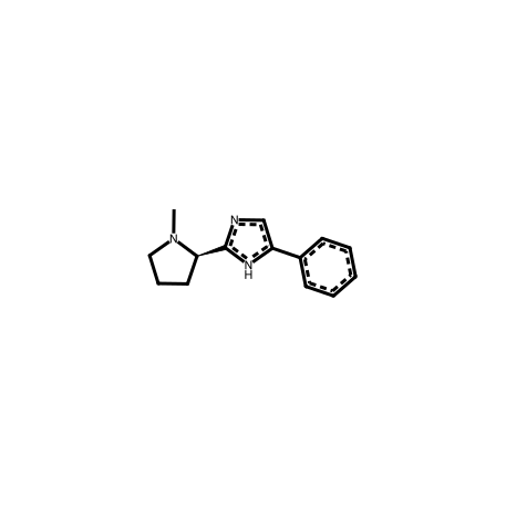 CN1CCC[C@@H]1c1ncc(-c2ccccc2)[nH]1